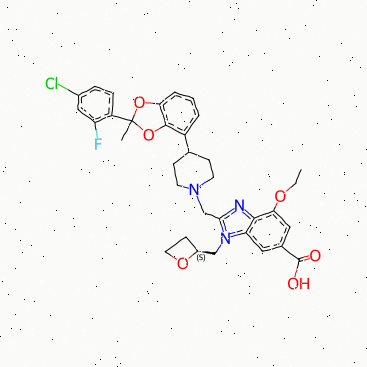 CCOc1cc(C(=O)O)cc2c1nc(CN1CCC(c3cccc4c3OC(C)(c3ccc(Cl)cc3F)O4)CC1)n2C[C@@H]1CCO1